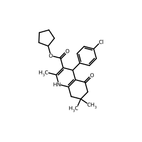 CC1=C(C(=O)OC2CCCC2)C(c2ccc(Cl)cc2)C2=C(CC(C)(C)CC2=O)N1